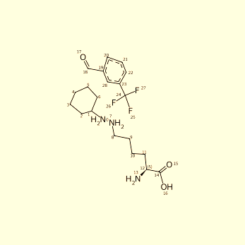 NC1CCCCC1.NCCCC[C@H](N)C(=O)O.O=Cc1cccc(C(F)(F)F)c1